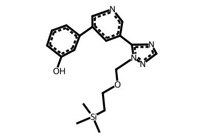 C[Si](C)(C)CCOCn1ncnc1-c1cncc(-c2cccc(O)c2)c1